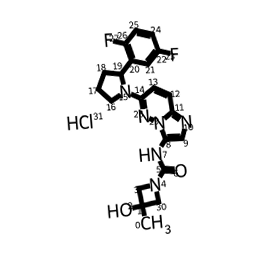 CC1(O)CN(C(=O)Nc2cnc3ccc(N4CCCC4c4cc(F)ccc4F)nn23)C1.Cl